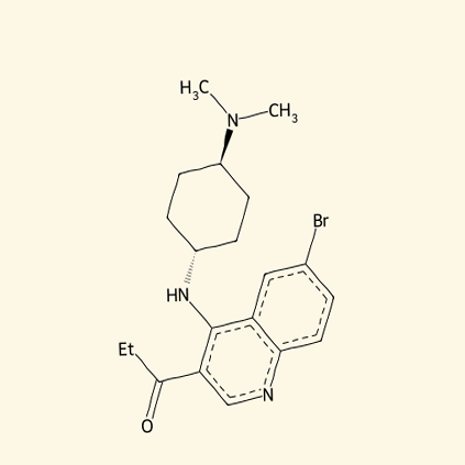 CCC(=O)c1cnc2ccc(Br)cc2c1N[C@H]1CC[C@H](N(C)C)CC1